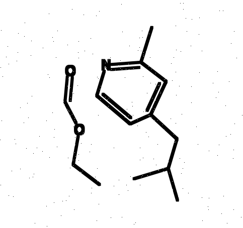 CCOC=O.Cc1cc(CC(C)C)ccn1